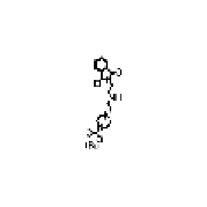 CC(C)(C)OC(=O)N1CCN(CCNCCN2C(=O)c3ccccc3C2=O)CC1